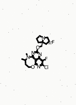 CC1CCOc2nc(Cl)c(F)c3nc(OC[C@@]45CCCN4C[C@H](F)C5)nc(c23)N1C